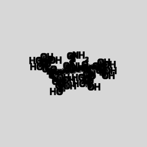 NC(=O)CC[C@H](N)C(=O)N(CCCCCC(=O)N(CCO[C@H]1O[C@H](CO)[C@@H](O)[C@H](O)[C@@H]1O)CCO[C@H]1O[C@H](CO)[C@@H](O)[C@H](O)[C@@H]1O)CCCCCC(=O)N(CCO[C@H]1O[C@H](CO)[C@@H](O)[C@H](O)[C@@H]1O)CCO[C@H]1O[C@H](CO)[C@@H](O)[C@H](O)[C@@H]1O